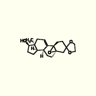 C[C@]12CC=C3[C@@H](CC[C@@]45CC6(CC[C@@]34O5)OCCO6)[C@H]1CC[C@H]2O